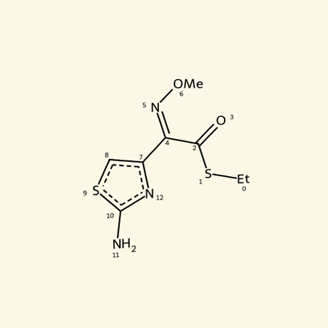 CCSC(=O)C(=NOC)c1csc(N)n1